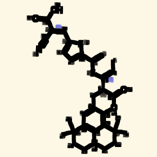 C=C(S/C(=C\C)[C@@H]1Cc2cc3c4c(c2OC1=O)C(C)(C)CCN4CCC3(C)C)c1ccc(/C=C(\C#N)C(=O)O)s1